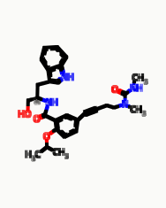 CNC(=O)N(C)CCC#Cc1ccc(OC(C)C)c(C(=O)N[C@@H](CO)Cc2c[nH]c3ccccc23)c1